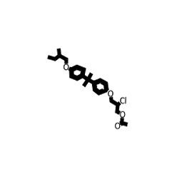 CCC(C)COc1ccc(C(C)(C)c2ccc(OCC(Cl)COC(C)=O)cc2)cc1